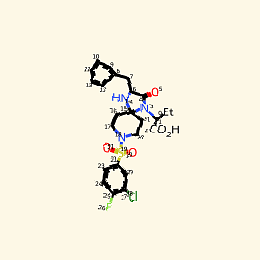 CCC(C(=O)O)N1C(=O)C(Cc2ccccc2)NC12CCN(S(=O)(=O)c1ccc(F)c(Cl)c1)CC2